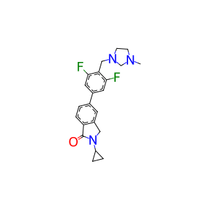 CN1CCN(Cc2c(F)cc(-c3ccc4c(c3)CN(C3CC3)C4=O)cc2F)C1